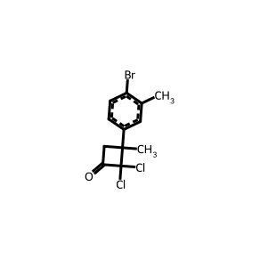 Cc1cc(C2(C)CC(=O)C2(Cl)Cl)ccc1Br